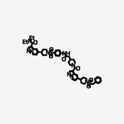 CCN(CC)C(=O)c1cnn2ccc(C3CCN(S(=O)(=O)c4ccc(NC(=O)CC5CCN(C(=O)c6cnn7ccc(C8CCN(S(=O)(=O)Cc9ccccc9)CC8)cc67)CC5)cc4)CC3)cc12